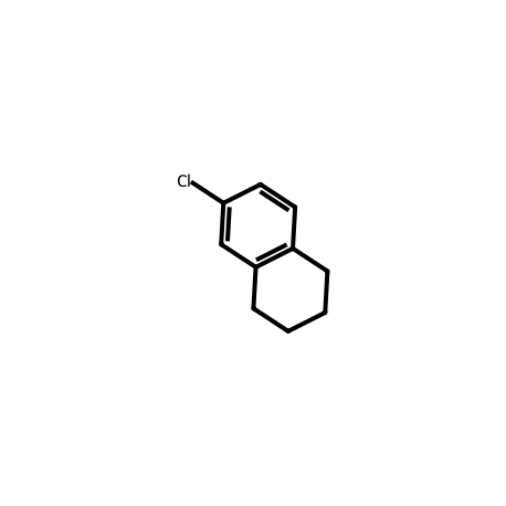 Clc1ccc2c(c1)CCCC2